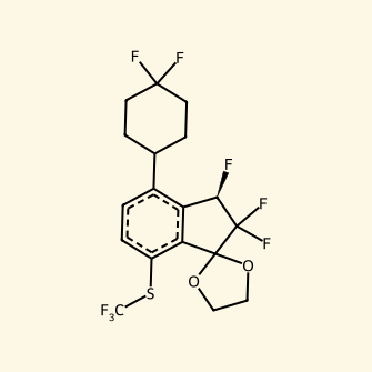 F[C@@H]1c2c(C3CCC(F)(F)CC3)ccc(SC(F)(F)F)c2C2(OCCO2)C1(F)F